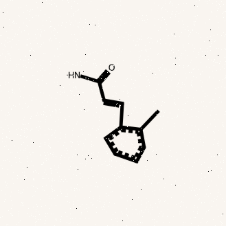 Cc1ccccc1/C=C/C([NH])=O